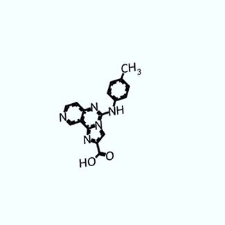 Cc1ccc(Nc2nc3ccncc3c3nc(C(=O)O)cn23)cc1